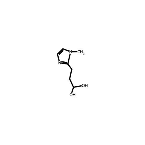 Cn1ccnc1CCC(O)O